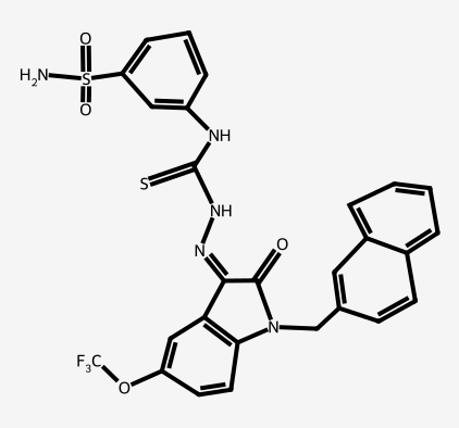 NS(=O)(=O)c1cccc(NC(=S)NN=C2C(=O)N(Cc3ccc4ccccc4c3)c3ccc(OC(F)(F)F)cc32)c1